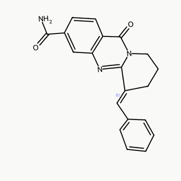 NC(=O)c1ccc2c(=O)n3c(nc2c1)/C(=C/c1ccccc1)CCC3